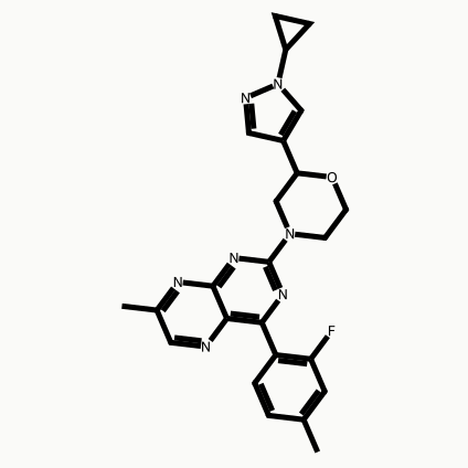 Cc1ccc(-c2nc(N3CCOC(c4cnn(C5CC5)c4)C3)nc3nc(C)cnc23)c(F)c1